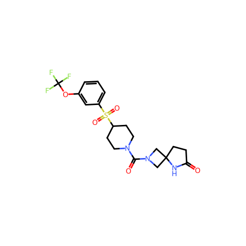 O=C1CCC2(CN(C(=O)N3CCC(S(=O)(=O)c4cccc(OC(F)(F)F)c4)CC3)C2)N1